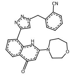 N#Cc1ccccc1Cn1cc(-c2cccc3c(=O)cc(N4CCCOCC4)[nH]c23)nn1